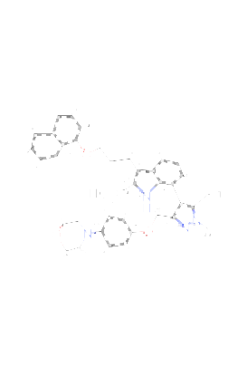 CC(C)c1c(-c2cccc3c(CCCOc4cccc5ccccc45)c(C(=O)O)[nH]c23)c(COc2ccc(N3CCOCC3)cc2)nn1C